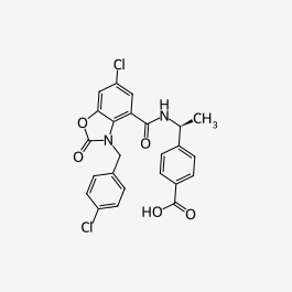 C[C@H](NC(=O)c1cc(Cl)cc2oc(=O)n(Cc3ccc(Cl)cc3)c12)c1ccc(C(=O)O)cc1